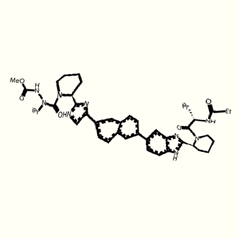 CCC(=O)N[C@H](C(=O)N1CCCC[C@H]1c1nc2cc(-c3ccc4cc(-c5c[nH]c([C@@H]6CCCCN6C(=O)N(NC(=O)OC)C(C)C)n5)ccc4c3)ccc2[nH]1)C(C)C